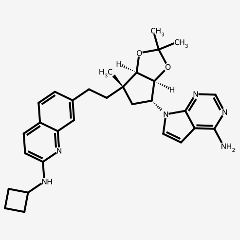 CC1(C)O[C@H]2[C@H](n3ccc4c(N)ncnc43)C[C@](C)(CCc3ccc4ccc(NC5CCC5)nc4c3)[C@H]2O1